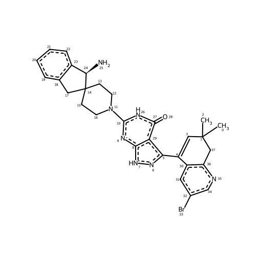 CC1(C)C=C(c2n[nH]c3nc(N4CCC5(CC4)Cc4ccccc4[C@H]5N)[nH]c(=O)c23)c2cc(Br)cnc2C1